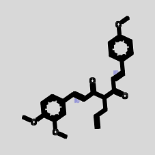 C=CCC(C(=O)/C=C/c1ccc(OC)cc1)C(=O)/C=C/c1ccc(OC)c(OC)c1